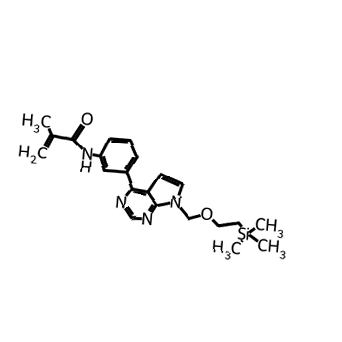 C=C(C)C(=O)Nc1cccc(-c2ncnc3c2ccn3COCC[Si](C)(C)C)c1